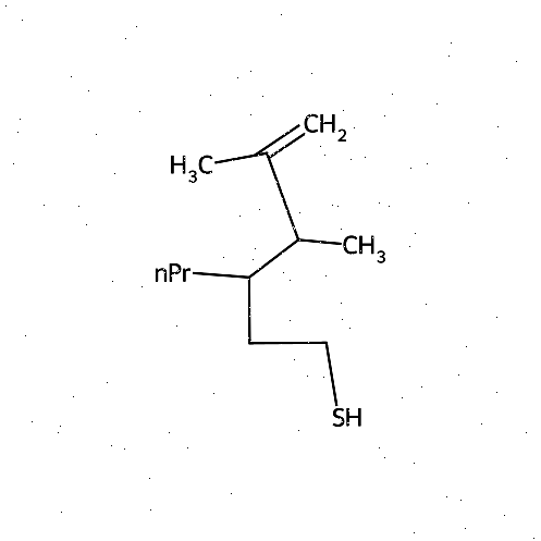 C=C(C)C(C)C(CCC)CCS